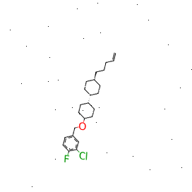 C=CCCC[C@H]1CC[C@H](C2CCC(OCc3ccc(F)c(Cl)c3)CC2)CC1